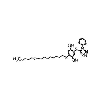 CCCCCCCCCCCCCCCSc1cc(O)c(Sc2nnnn2-c2ccccc2)cc1O